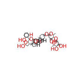 CC1O[C@@H](OC2C(C)O[C@@H](O[C@H]3CC[C@@]4(C)[C@H](CC[C@@H]5[C@@H]4C[C@@H](O)[C@]4(C)[C@@H](C6CC(O)OC6Cc6ccccc6O)CC[C@]54O)C3)C[C@H]2O)C[C@@H](O)C1O